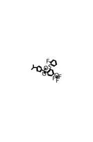 CC(C)c1ccc(S(=O)(=O)c2ccc(OC(F)(F)F)cc2Sc2ccccc2F)cc1